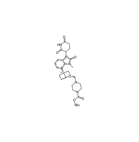 Cn1c(=O)n(C2CCC(=O)NC2=O)c2cccc([C@]34CC5C3[C@]5(CN3CCN(C(=O)OC(C)(C)C)CC3)C4)c21